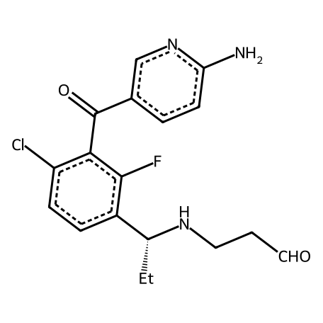 CC[C@@H](NCCC=O)c1ccc(Cl)c(C(=O)c2ccc(N)nc2)c1F